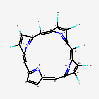 FC1=C(F)C2=NC1=CC1=NC(=CC3=NC(=C(F)C4=NC(=C2F)C(F)=C4F)C(F)=C3F)C=C1